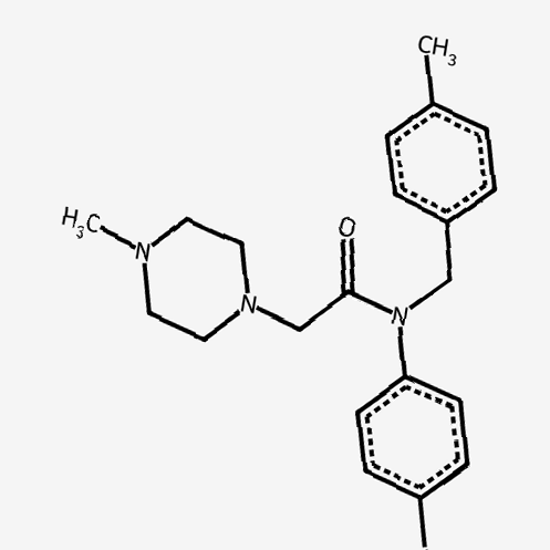 Cc1ccc(CN(C(=O)CN2CCN(C)CC2)c2ccc(I)cc2)cc1